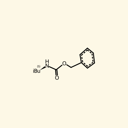 CC[C@H](C)NC(=O)OCc1ccccc1